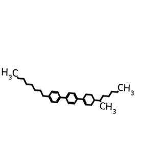 CCCCCCCCc1ccc(-c2ccc(C3=CCC(C(C)CCCCC)CC3)cc2)cc1